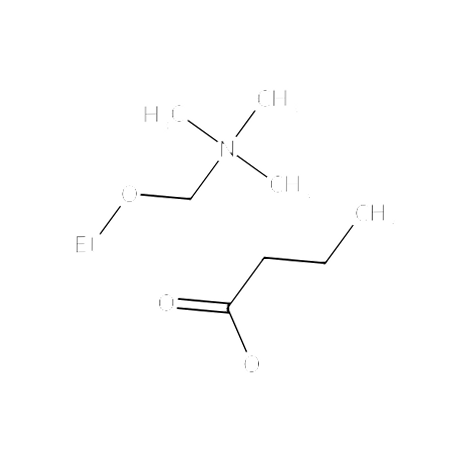 CCCC(=O)[O-].CCOC[N+](C)(C)C